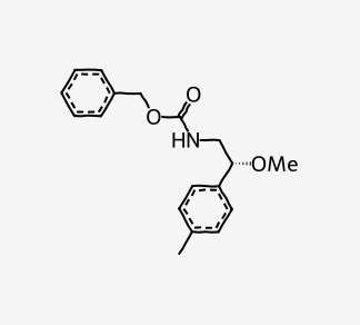 CO[C@@H](CNC(=O)OCc1ccccc1)c1ccc(C)cc1